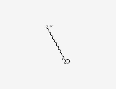 CCCCCCCCCCCCCCCCCCCCCCCCCCCCOC1CCCCO1